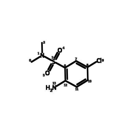 CN(C)S(=O)(=O)c1cc(Cl)ccc1N